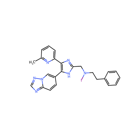 Cc1cccc(-c2nc(CN(I)CCc3ccccc3)[nH]c2-c2ccc3ncnn3c2)n1